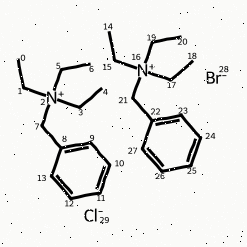 CC[N+](CC)(CC)Cc1ccccc1.CC[N+](CC)(CC)Cc1ccccc1.[Br-].[Cl-]